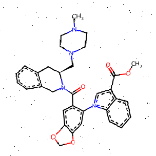 COC(=O)c1cn(-c2cc3c(cc2C(=O)N2Cc4ccccc4C[C@H]2CN2CCN(C)CC2)OCO3)c2ccccc12